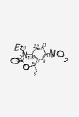 CCN1C(=O)OC(C)c2cc([N+](=O)[O-])ccc21